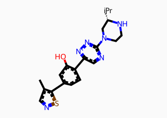 Cc1cnsc1-c1ccc(-c2cnc(N3CCN[C@@H](C(C)C)C3)nn2)c(O)c1